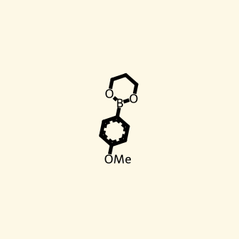 COc1ccc(B2OCCCO2)cc1